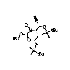 C#C[C@H](O[Si](C)(C)C(C)(C)C)[C@H](CCO[Si](C)(C)C(C)(C)C)N(CC)C(=O)OC(C)(C)C